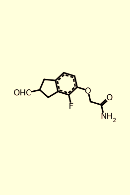 NC(=O)COc1ccc2c(c1F)CC(C=O)C2